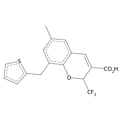 Cc1cc2c(c(Cc3cccs3)c1)OC(C(F)(F)F)C(C(=O)O)=C2